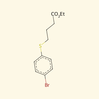 CCOC(=O)CCCSc1ccc(Br)cc1